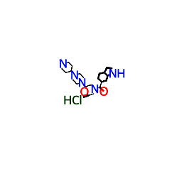 C#CCN(CC(=O)N1CCN(C2CCN(C)CC2)CC1)C(=O)c1ccc2cc[nH]c2c1.Cl